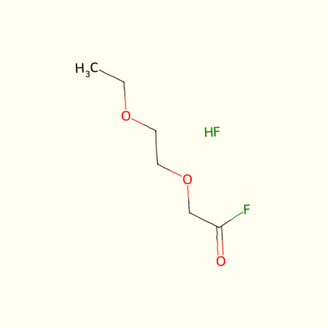 CCOCCOCC(=O)F.F